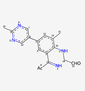 CC(=O)C(=N)c1cc(-c2cnc(C)nc2)cc(C)c1NCC=O